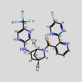 O=C(c1cccnc1-c1ncc(F)cn1)N1C[C@@H]2C[C@@H](Nc3cnc(C(F)(F)F)cn3)[C@@H]1C2